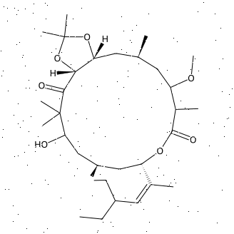 CCC(/C=C(/C)[C@@H]1C[C@@H](C)CC(O)C(C)(C)C(=O)[C@@H]2OC(C)(C)O[C@@H]2C[C@@H](C)CC(OC)C(C)C(=O)O1)CC